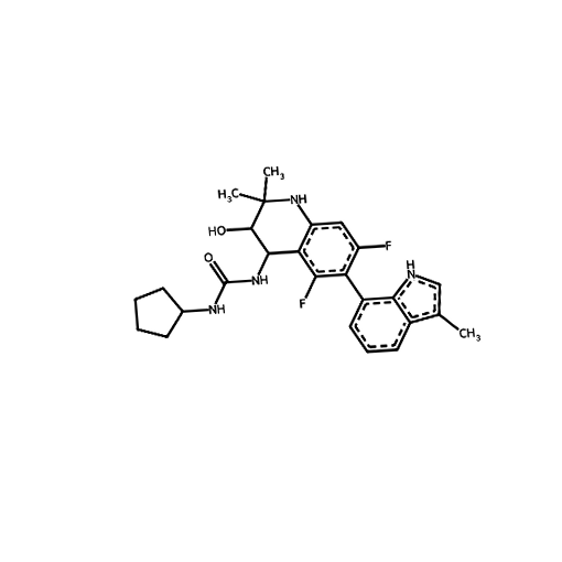 Cc1c[nH]c2c(-c3c(F)cc4c(c3F)C(NC(=O)NC3CCCC3)C(O)C(C)(C)N4)cccc12